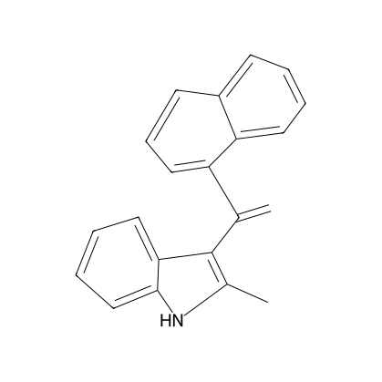 C=C(c1cccc2ccccc12)c1c(C)[nH]c2ccccc12